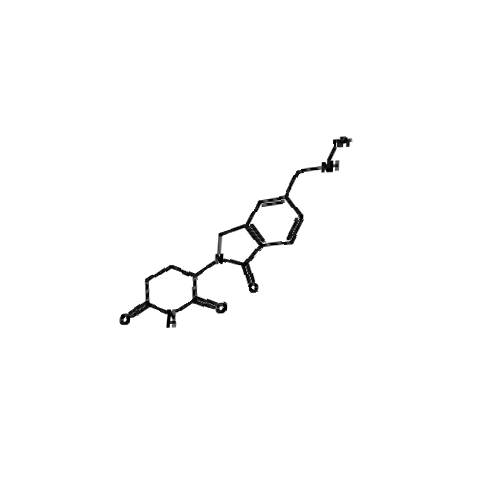 CCCNCc1ccc2c(c1)CN(C1CCC(=O)NC1=O)C2=O